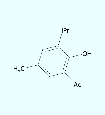 CC(=O)c1cc(C)cc(C(C)C)c1O